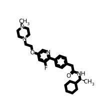 C[C@@H](NC(=O)Cc1ccc(-c2ncc(OCCN3CCN(C)CC3)cc2F)cc1)C1CCCCC1